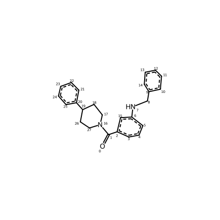 O=C(c1cccc(NCc2ccccc2)c1)N1CCC(c2ccccc2)CC1